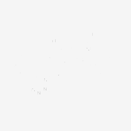 CCCOc1cc(C)n(Cc2ccccc2)c(=O)c1Cc1ccc(-c2ccccc2-c2nnn[nH]2)cc1